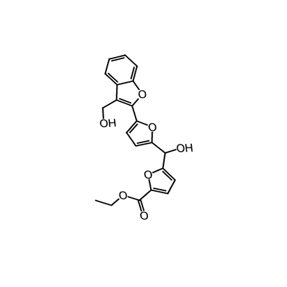 CCOC(=O)c1ccc(C(O)c2ccc(-c3oc4ccccc4c3CO)o2)o1